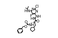 CC(C)Nc1nc(Cl)nc(NNC(=O)[C@@H](CNC(=O)OCc2ccccc2)CC2CCCC2)c1F